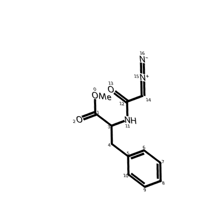 COC(=O)C(Cc1ccccc1)NC(=O)C=[N+]=[N-]